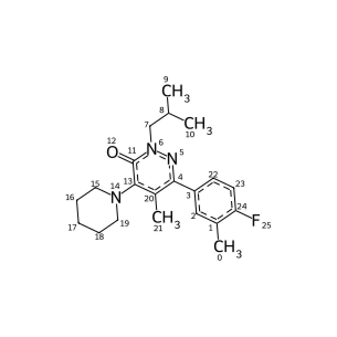 Cc1cc(-c2nn(CC(C)C)c(=O)c(N3CCCCC3)c2C)ccc1F